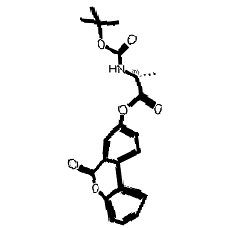 C[C@@H](NC(=O)OC(C)(C)C)C(=O)Oc1ccc2c(c1)c(=O)oc1c[c]ccc12